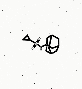 O=S(=O)(NC12CC3CC(CC(C3)C1)C2)C1CC1